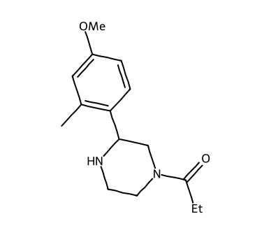 CCC(=O)N1CCNC(c2ccc(OC)cc2C)C1